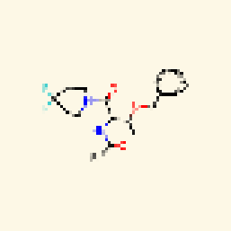 CC(C)C(=O)NC(C(=O)N1CCC(F)(F)CC1)C(C)OCc1ccccc1